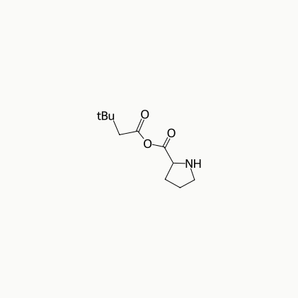 CC(C)(C)CC(=O)OC(=O)C1CCCN1